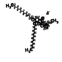 CCCCCCCCCCCCCCOc1ccc(C(=O)N(Cc2cccc[n+]2CCC)C(C)=O)cc1OCCCCCCCCCCCCCC.[I-]